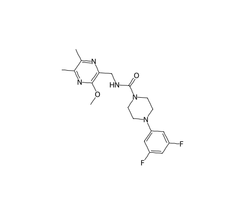 COc1nc(C)c(C)nc1CNC(=O)N1CCN(c2cc(F)cc(F)c2)CC1